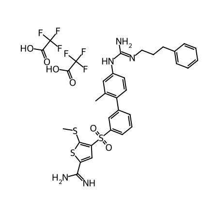 CSc1sc(C(=N)N)cc1S(=O)(=O)c1cccc(-c2ccc(NC(N)=NCCCc3ccccc3)cc2C)c1.O=C(O)C(F)(F)F.O=C(O)C(F)(F)F